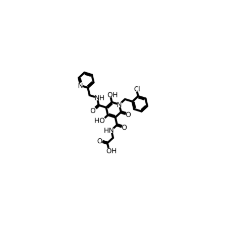 O=C(O)CNC(=O)c1c(O)c(C(=O)NCc2ccccn2)c(O)n(Cc2ccccc2Cl)c1=O